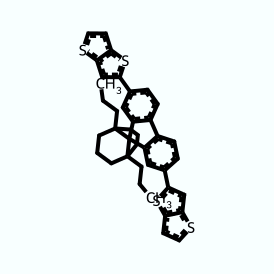 CCCC12CCCC(CCC)(CCC1)C21c2cc(-c3cc4sccc4s3)ccc2-c2ccc(-c3cc4sccc4s3)cc21